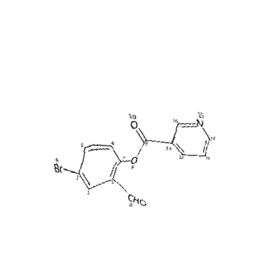 O=Cc1cc(Br)ccc1OC(=O)c1cccnc1